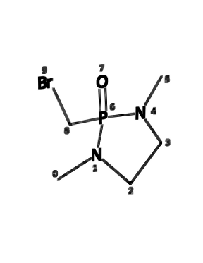 CN1CCN(C)P1(=O)CBr